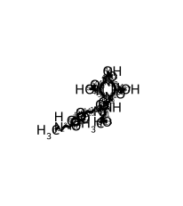 CNCCCC1OCC2(CO1)COC(CCCNC(=O)C(CCC(C)=O)NC(=O)CN1CCN(CC(=O)O)CCN(CC(=O)O)CCN(CC(=O)O)CC1)OC2